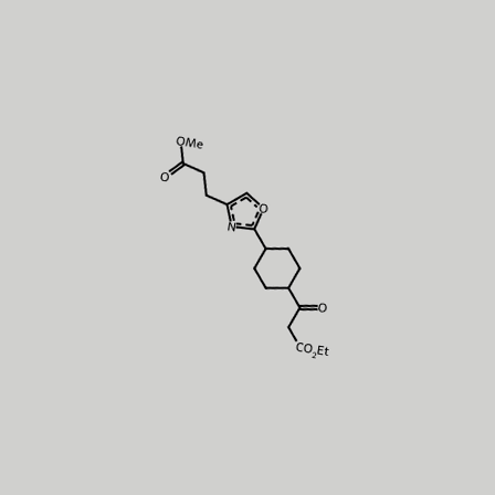 CCOC(=O)CC(=O)C1CCC(c2nc(CCC(=O)OC)co2)CC1